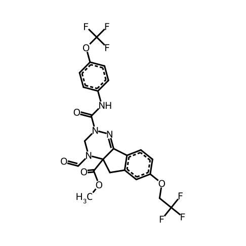 COC(=O)C12Cc3cc(OCC(F)(F)F)ccc3C1=NN(C(=O)Nc1ccc(OC(F)(F)F)cc1)CN2C=O